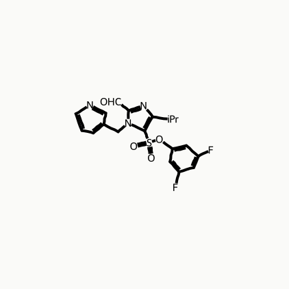 CC(C)c1nc(C=O)n(Cc2cccnc2)c1S(=O)(=O)Oc1cc(F)cc(F)c1